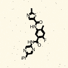 Cc1ncc(C(=O)Nc2cc(C(=O)Nc3cnc(C(C)C)cn3)c(F)cc2C)s1